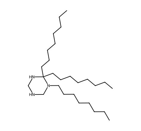 CCCCCCCCN1CNCNC1(CCCCCCCC)CCCCCCCC